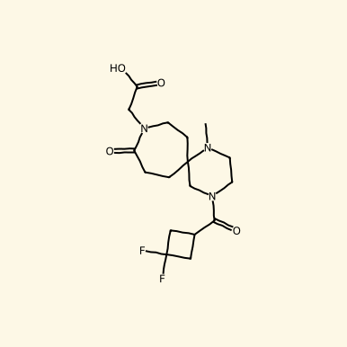 CN1CCN(C(=O)C2CC(F)(F)C2)CC12CCC(=O)N(CC(=O)O)CC2